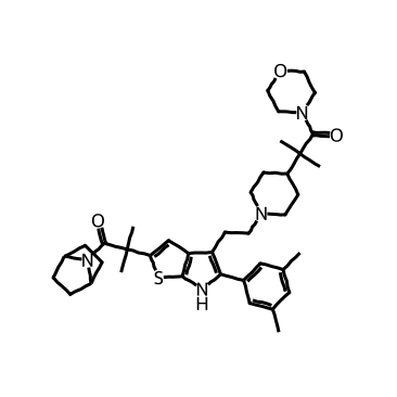 Cc1cc(C)cc(-c2[nH]c3sc(C(C)(C)C(=O)N4C5CCC4CC5)cc3c2CCN2CCC(C(C)(C)C(=O)N3CCOCC3)CC2)c1